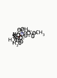 CCOC(=O)c1ccc(C/C(C(=O)c2ccc(OC)c(OC)c2)=C(\C(=O)O)c2ccc3nsnc3c2)cc1